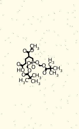 COC(=O)C(CCC(=O)O)CP(=O)(OCOC(=O)C(C)(C)C)OCOC(=O)C(C)(C)C